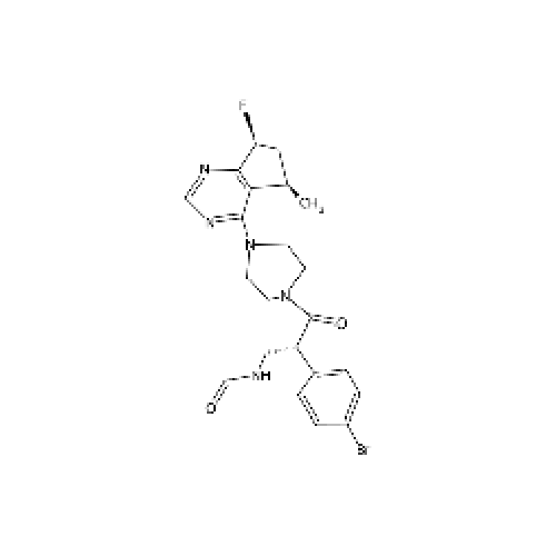 C[C@@H]1C[C@H](F)c2ncnc(N3CCN(C(=O)[C@@H](CNC=O)c4ccc(Br)cc4)CC3)c21